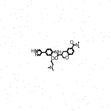 CN(C)CCOc1cc(-c2cn[nH]c2)ccc1NC(=O)C1COc2ccc(C(=O)N(C)C)cc2C1